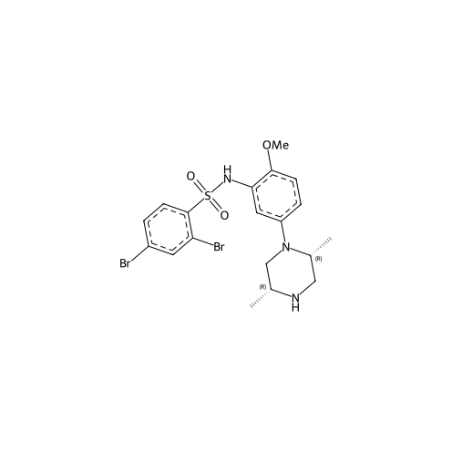 COc1ccc(N2C[C@@H](C)NC[C@H]2C)cc1NS(=O)(=O)c1ccc(Br)cc1Br